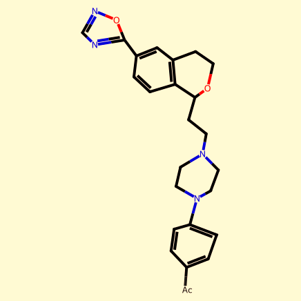 CC(=O)c1ccc(N2CCN(CCC3OCCc4cc(-c5ncno5)ccc43)CC2)cc1